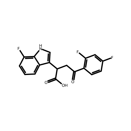 O=C(CC(C(=O)O)c1c[nH]c2c(F)cccc12)c1ccc(F)cc1F